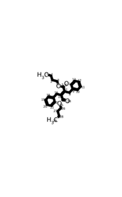 CCCCOC(=O)C(Cc1ccccc1)=C(Cc1ccccc1)C(=O)OCCCC